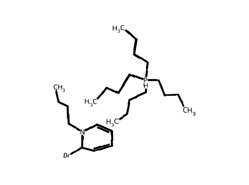 CCCCN1C=CC=CC1Br.CCCC[PH](CCCC)(CCCC)CCCC